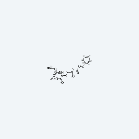 COC(=O)[C@H](CCC(=O)CC(=O)OCc1ccccc1)NC(=O)OC(C)(C)C